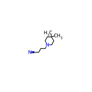 CC1(C)CCN(CCCC#N)CC1